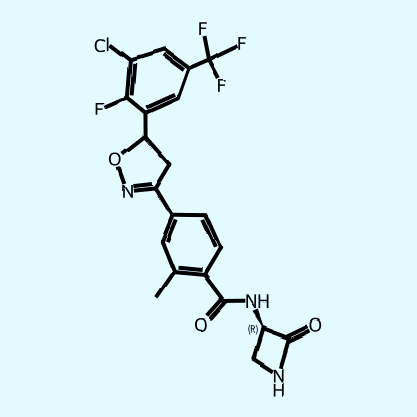 Cc1cc(C2=NOC(c3cc(C(F)(F)F)cc(Cl)c3F)C2)ccc1C(=O)N[C@@H]1CNC1=O